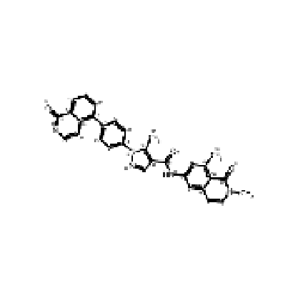 Cn1ccc2cc(NC(=O)c3cnn(-c4ccc(-c5cccc6c(=O)[nH]ccc56)cc4)c3C(F)(F)F)cc(C(F)(F)F)c2c1=O